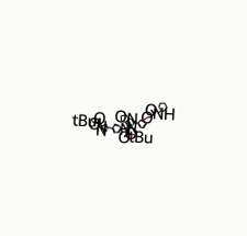 CC(C)(C)OC(=O)N(c1ccc(-c2cnn(C(=O)OC(C)(C)C)c2)cc1)c1nc(-c2cccc(OCC(=O)NC3CCCCC3)c2)nc2c1COC2